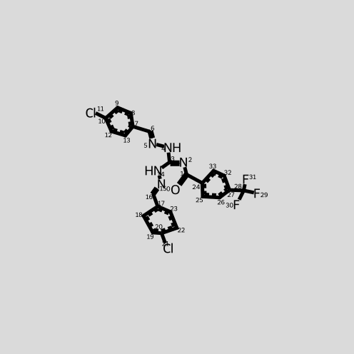 O=C(N=C(N/N=C/c1ccc(Cl)cc1)N/N=C/c1ccc(Cl)cc1)c1ccc(C(F)(F)F)cc1